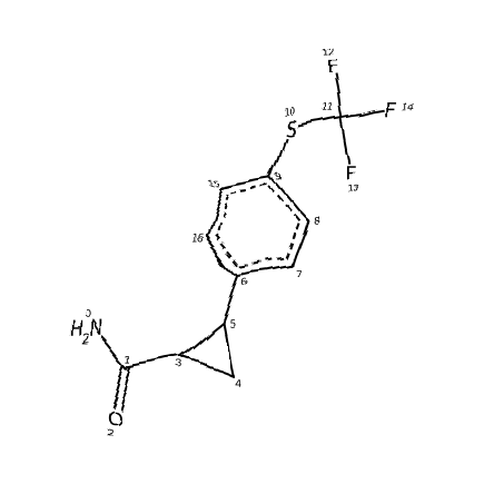 NC(=O)C1CC1c1ccc(SC(F)(F)F)cc1